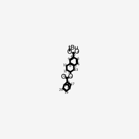 CC(C)(C)OC(=O)c1ccc2c(c1)CCC(OC(=O)C1CC3C=CC1C3)C2